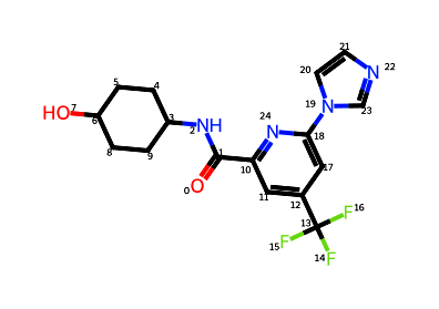 O=C(NC1CCC(O)CC1)c1cc(C(F)(F)F)cc(-n2ccnc2)n1